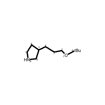 CC(C)(C)OCCCC1CCNC1